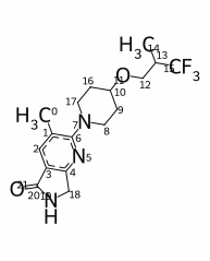 Cc1cc2c(nc1N1CCC(OCC(C)C(F)(F)F)CC1)CNC2=O